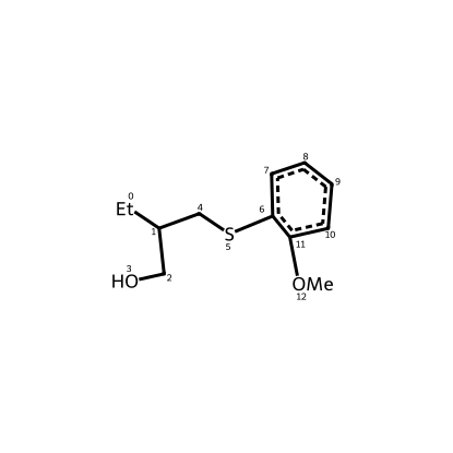 CCC(CO)CSc1ccccc1OC